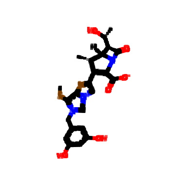 CSc1c2sc(C3=C(C(=O)[O-])N4C(=O)[C@H]([C@@H](C)O)[C@H]4[C@H]3C)c[n+]2cn1Cc1cc(O)cc(O)c1